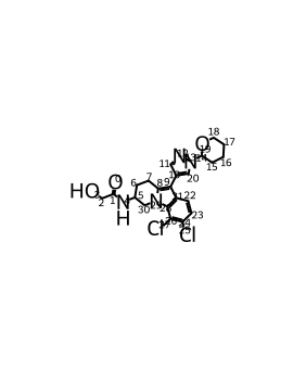 O=C(CO)NC1CCc2c(-c3cnn(C4CCCCO4)c3)c3ccc(Cl)c(Cl)c3n2C1